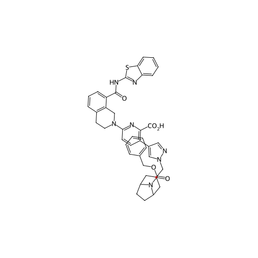 O=C(Nc1nc2ccccc2s1)c1cccc2c1CN(c1ccc(-c3cnn(CC4CC5CCC(C4)N5C(=O)OCc4ccccc4)c3)c(C(=O)O)n1)CC2